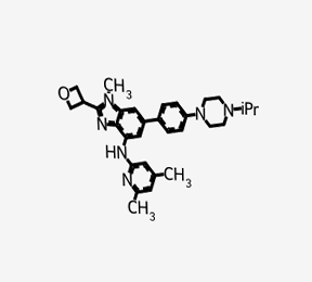 Cc1cc(C)nc(Nc2cc(-c3ccc(N4CCN(C(C)C)CC4)cc3)cc3c2nc(C2COC2)n3C)c1